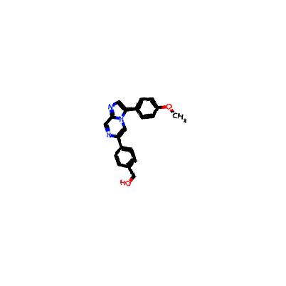 COc1ccc(-c2cnc3cnc(-c4ccc(CO)cc4)cn23)cc1